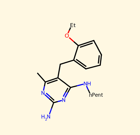 CCCCCNc1nc(N)nc(C)c1Cc1ccccc1OCC